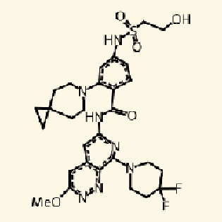 COc1cc2cc(NC(=O)c3ccc(NS(=O)(=O)CCO)cc3N3CCC4(CC3)CC4)nc(N3CCC(F)(F)CC3)c2nn1